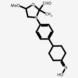 COC1CN(c2ccc(C3CCC(=NO)CC3)cc2)C(C)(C=O)O1